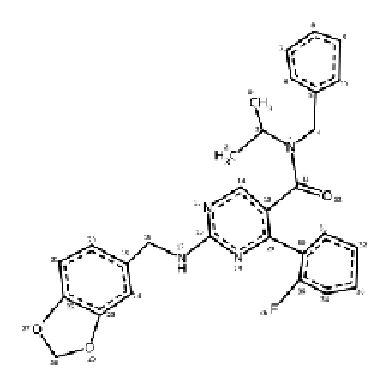 CC(C)N(Cc1ccccc1)C(=O)c1cnc(NCc2ccc3c(c2)OCO3)nc1-c1ccccc1F